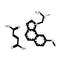 COc1ccc2ccc3ccn(C[C@@H](C)N)c3c2c1.O=C(O)C=CC(=O)O